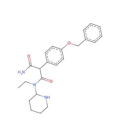 CCN(C(=O)C(C(N)=O)c1ccc(OCc2ccccc2)cc1)C1CCCCN1